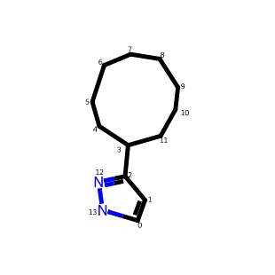 C1=CC(C2CCCCCCCC2)=N[N]1